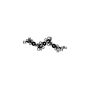 CCCCC(CC)CNS(=O)(=O)c1ccc(/N=N/c2c(C)c(C#N)c(=O)n(-c3ccc(-n4c(O)c(/N=N/c5ccc(S(=O)(=O)NCC(CC)CCCC)cc5)c(C)c(C#N)c4=O)cc3)c2O)cc1